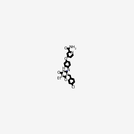 CCn1c(=O)[nH]/c(=N\c2ccc(Oc3ccnc(C(N)=O)c3)cc2)n(Cc2ccc(Cl)cc2)c1=O